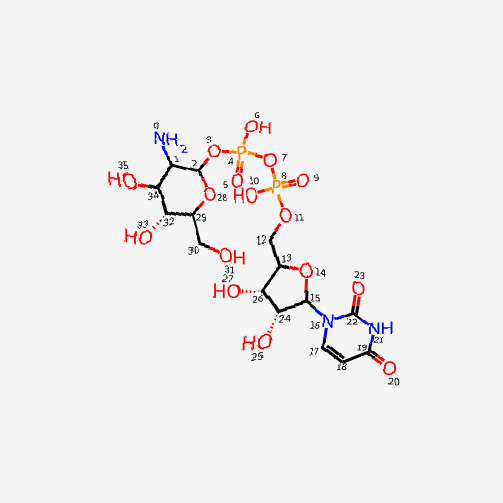 NC1C(OP(=O)(O)OP(=O)(O)OCC2OC(n3ccc(=O)[nH]c3=O)[C@H](O)[C@@H]2O)OC(CO)[C@H](O)C1O